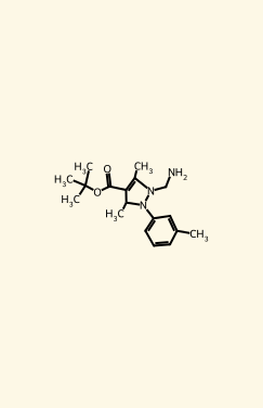 CC1=C(C(=O)OC(C)(C)C)C(C)N(c2cccc(C)c2)N1CN